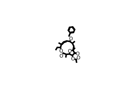 CCC1OC(=O)C(C)C2OC(C)(CC(C)C(OCc3ccccc3)C=C=C1C)C(=O)C2OC(C)=O